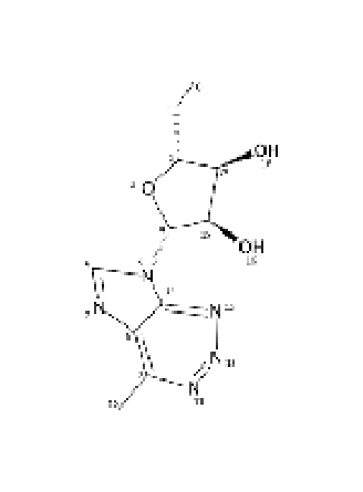 CC[C@H]1O[C@@H](n2cnc3c(C)nnnc32)[C@H](O)[C@@H]1O